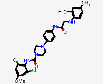 COc1cc(Cl)c(NC(=O)N2CCN(c3ccc(NC(=O)CNc4ccc(C)cc4C)cc3)CC2)c(Cl)c1